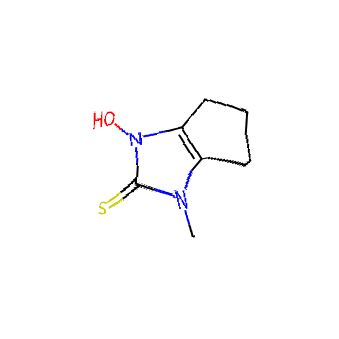 Cn1c2c(n(O)c1=S)CCC2